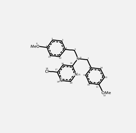 COc1ccc(CN(Cc2ccc(OC)cc2)c2cc(Cl)ncn2)cc1